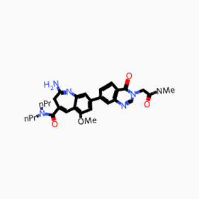 CCCN(CCC)C(=O)C1=Cc2c(cc(-c3ccc4c(=O)n(CC(=O)NC)cnc4c3)cc2OC)N=C(N)C1